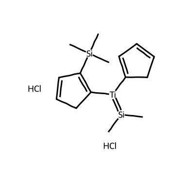 C[Si](C)=[Ti]([C]1=CC=CC1)[C]1=C([Si](C)(C)C)C=CC1.Cl.Cl